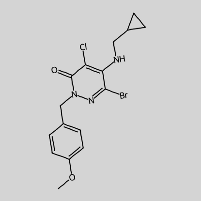 COc1ccc(Cn2nc(Br)c(NCC3CC3)c(Cl)c2=O)cc1